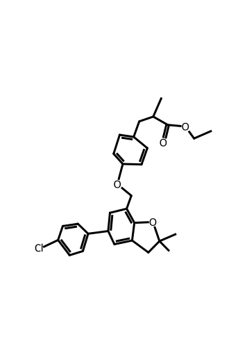 CCOC(=O)C(C)Cc1ccc(OCc2cc(-c3ccc(Cl)cc3)cc3c2OC(C)(C)C3)cc1